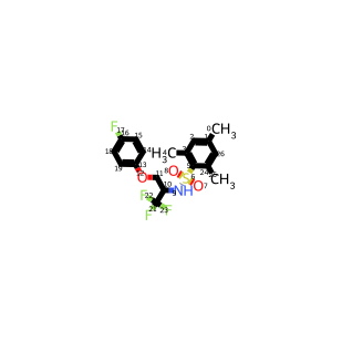 Cc1cc(C)c(S(=O)(=O)NC(COc2ccc(F)cc2)C(F)(F)F)c(C)c1